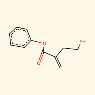 C=C(CCS)C(=O)Oc1ccccc1